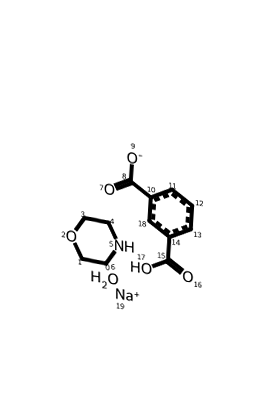 C1COCCN1.O.O=C([O-])c1cccc(C(=O)O)c1.[Na+]